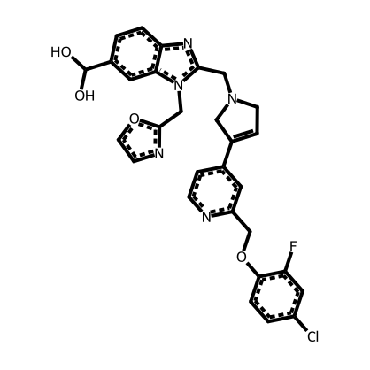 OC(O)c1ccc2nc(CN3CC=C(c4ccnc(COc5ccc(Cl)cc5F)c4)C3)n(Cc3ncco3)c2c1